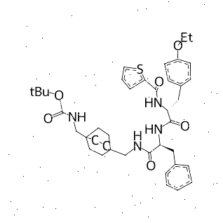 CCOc1ccc(C[C@@H](NC(=O)c2cccs2)C(=O)N[C@@H](Cc2ccccc2)C(=O)NCC23CCC(CNC(=O)OC(C)(C)C)(CC2)CC3)cc1